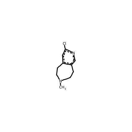 CN1CCc2cnc(Cl)cc2CC1